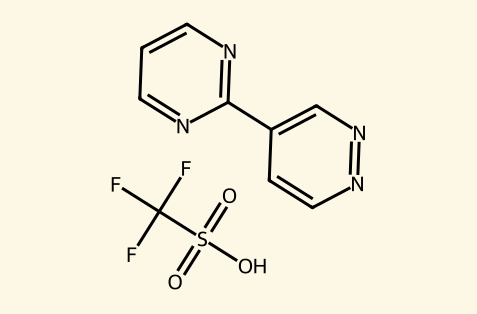 O=S(=O)(O)C(F)(F)F.c1cnc(-c2ccnnc2)nc1